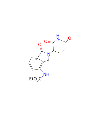 [CH2]COC(=O)Nc1cccc2c1CN(C1CCC(=O)NC1=O)C2=O